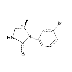 C[C@@H]1CNC(=O)N1c1cccc(Br)c1